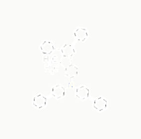 CC1(C)c2cc(N(c3ccc(-c4ccccc4)cc3)c3ccc(-c4ccccc4)cc3)ccc2-c2cc(-c3ccccc3)cc(-c3ccccc3)c21